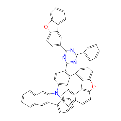 c1ccc(-c2nc(-c3ccc4oc5ccccc5c4c3)nc(-c3ccc(-n4c5ccccc5c5cc6ccccc6cc54)cc3-c3cccc4oc5ccc6ccccc6c5c34)n2)cc1